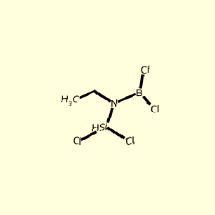 CCN(B(Cl)Cl)[SiH](Cl)Cl